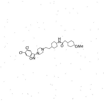 COC1CCC(CC(=O)NC2CCC(CCN3CCN(c4noc5cc(Cl)c(Cl)cc45)CC3)CC2)CC1